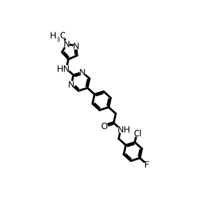 Cn1cc(Nc2ncc(-c3ccc(CC(=O)NCc4ccc(F)cc4Cl)cc3)cn2)cn1